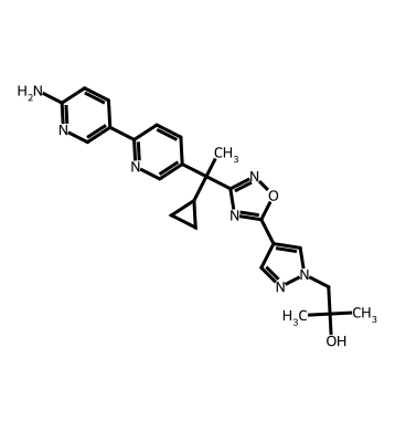 CC(C)(O)Cn1cc(-c2nc(C(C)(c3ccc(-c4ccc(N)nc4)nc3)C3CC3)no2)cn1